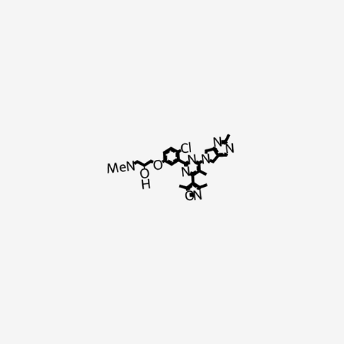 CNC[C@@H](O)COc1ccc(Cl)c(-c2nc(-c3c(C)noc3C)c(C)c(N3Cc4cnc(C)nc4C3)n2)c1